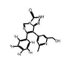 [2H]c1c([2H])c([2H])c(-c2ncn3c(=O)[nH]nc3c2-c2cc(C)nc(CO)c2)c([2H])c1[2H]